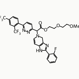 COCCOCCOC(=O)C(c1ccc(-c2ccc(C(F)(F)F)cc2C(F)(F)F)nn1)N1C=Cc2[nH]c(-c3ccccc3F)nc2C1